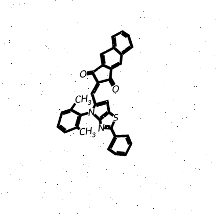 Cc1cccc(C)c1-n1c(C=C2C(=O)c3cc4ccccc4cc3C2=O)cc2sc(-c3ccccc3)nc21